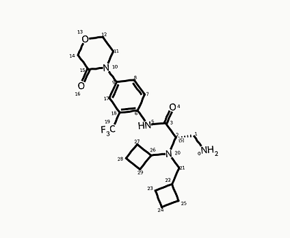 NC[C@@H](C(=O)Nc1ccc(N2CCOCC2=O)cc1C(F)(F)F)N(CC1CCC1)C1CCC1